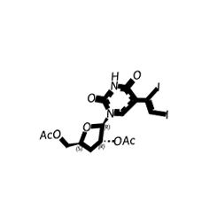 CC(=O)OC[C@@H]1C[C@@H](OC(C)=O)[C@H](n2cc(C(I)=CI)c(=O)[nH]c2=O)O1